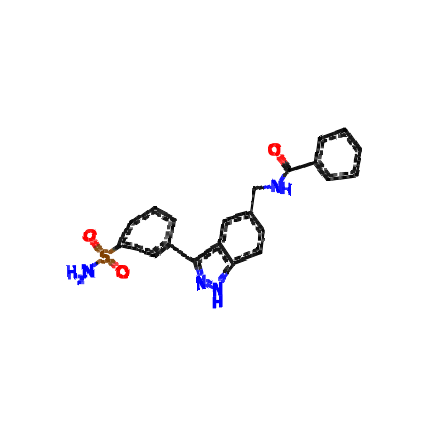 NS(=O)(=O)c1cccc(-c2n[nH]c3ccc(CNC(=O)c4ccccc4)cc23)c1